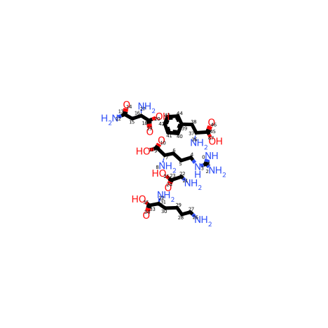 N=C(N)NCCC[C@H](N)C(=O)O.NC(=O)C[C@H](N)C(=O)O.NCC(=O)O.NCCCC[C@H](N)C(=O)O.N[C@H](Cc1ccccc1)C(=O)O